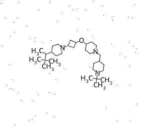 CC(C1CCN(C2CC(OC3CCN(CC4CCN(C(C)(C)C)CC4)CC3)C2)CC1)C(C)(C)C